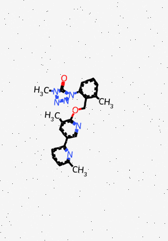 Cc1cccc(-c2cnc(OCc3c(C)cccc3-n3nnn(C)c3=O)c(C)c2)n1